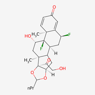 CCCC1O[C@@H]2CC3[C@@H]4C[C@H](F)C5=CC(=O)C=C[C@]5(C)[C@@]4(F)[C@@H](O)C[C@]3(C)[C@]2(C(=O)CO)O1